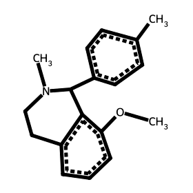 COc1cccc2c1C(c1ccc(C)cc1)N(C)CC2